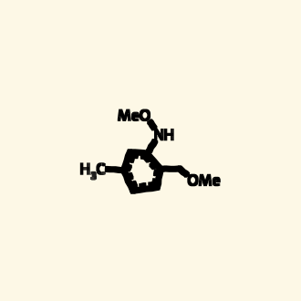 COCc1ccc(C)cc1NOC